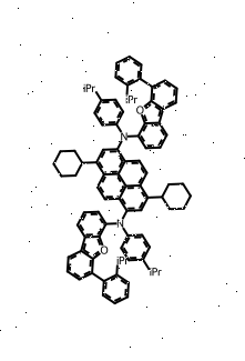 CC(C)c1ccc(N(c2cc(C3CCCCC3)c3ccc4c(N(c5ccc(C(C)C)cc5)c5cccc6c5oc5c(-c7ccccc7C(C)C)cccc56)cc(C5CCCCC5)c5ccc2c3c54)c2cccc3c2oc2c(-c4ccccc4C(C)C)cccc23)cc1